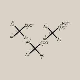 CC(=O)C(C(C)=O)(C(C)=O)C(=O)[O-].CC(=O)C(C(C)=O)(C(C)=O)C(=O)[O-].CC(=O)C(C(C)=O)(C(C)=O)C(=O)[O-].[Nd+3]